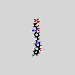 CS(=O)(=O)c1ccc(C(=O)NC2CCC(CCN3CCC(C(=O)c4ccc(F)cc4)CC3)CC2)s1